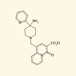 CCOC(=O)c1cc(CN2CCC(N)(c3ccccn3)CC2)c2ccccn2c1=O